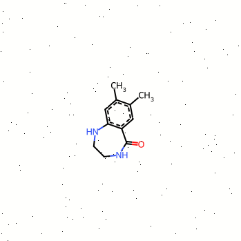 Cc1cc2c(cc1C)C(=O)NCCN2